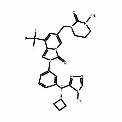 CN1CCCN(Cc2cc(C(F)(F)F)c3cn(-c4cccc([C@H](c5nncn5C)C5CCC5)c4)c(=O)n3c2)C1=O